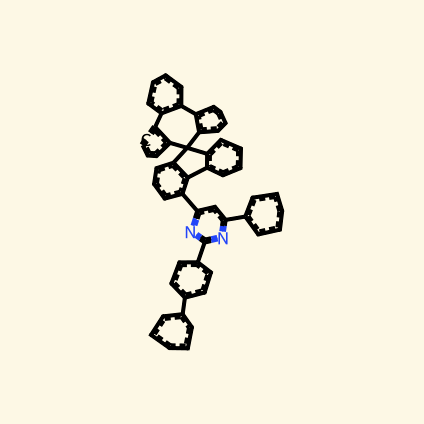 c1ccc(-c2ccc(-c3nc(-c4ccccc4)cc(-c4cccc5c4-c4ccccc4C54c5ccccc5-c5ccccc5-c5ccccc54)n3)cc2)cc1